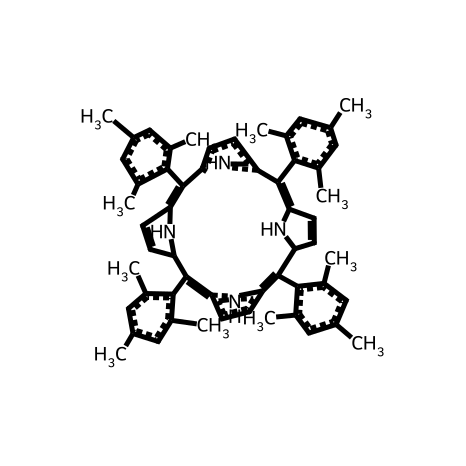 Cc1cc(C)c(/C2=C3\C=CC(N3)/C(c3c(C)cc(C)cc3C)=c3/cc/c([nH]3)=C(\c3c(C)cc(C)cc3C)C3C=C/C(=C(\c4c(C)cc(C)cc4C)c4ccc2[nH]4)N3)c(C)c1